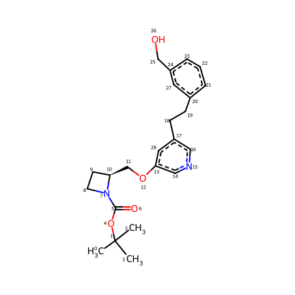 CC(C)(C)OC(=O)N1CC[C@H]1COc1cncc(CCc2cccc(CO)c2)c1